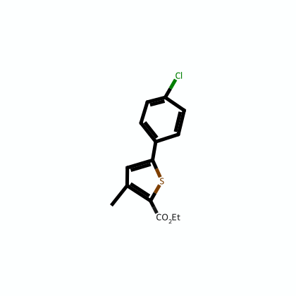 CCOC(=O)c1sc(-c2ccc(Cl)cc2)cc1C